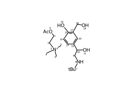 CC(=O)OCC[N+](C)(C)C.CC(C)(C)NCC(O)c1ccc(O)c(CO)c1